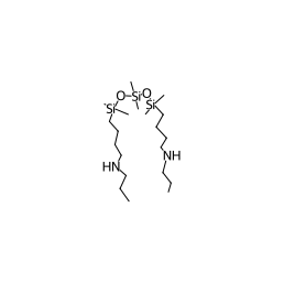 CCCNCCCC[Si](C)(C)O[Si](C)(C)O[Si](C)(C)CCCCNCCC